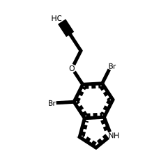 C#CCOc1c(Br)cc2[nH]c[c]c2c1Br